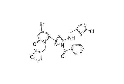 O=C(c1ccccc1)n1nc(-c2cc(Br)cc(=O)n2Cc2ccon2)cc1NCc1ccc(Cl)s1